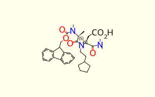 C[C@@H](C(=O)N(CCC1CCCC1)[C@@H](CC(=O)O)C(=O)N(C)C)N(C)C(=O)OCC1c2ccccc2-c2ccccc21